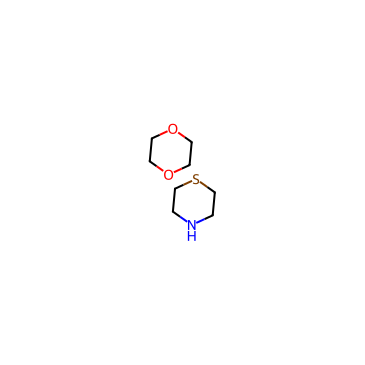 C1COCCO1.C1CSCCN1